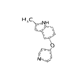 Cc1cc2cc(Oc3ccncc3)ccc2[nH]1